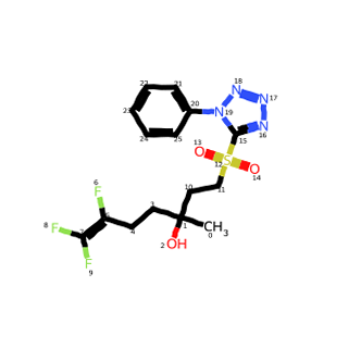 CC(O)(CCC(F)=C(F)F)CCS(=O)(=O)c1nnnn1-c1ccccc1